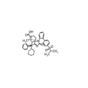 CC(C)S(=O)(=O)c1ccc(-c2ccccc2N2C(=O)N=C(NC3CCCCC3)[C@@]23CCN(C(=O)O)[C@H](C)C3Cc2ccccc2)cc1